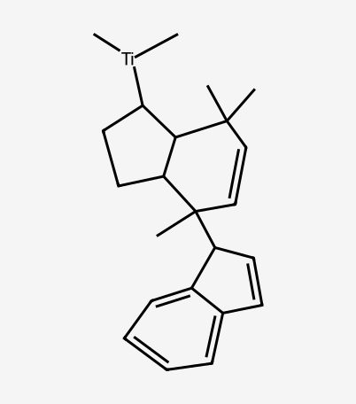 [CH3][Ti]([CH3])[CH]1CCC2C1C(C)(C)C=CC2(C)C1C=Cc2ccccc21